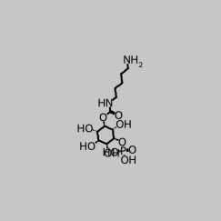 NCCCCCNC(=O)O[C@H]1[C@H](O)[C@@H](OP(=O)(O)O)[C@@H](O)[C@@H](O)[C@@H]1O